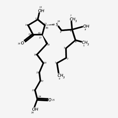 CCCCC(C)C(C)(O)CS[C@H]1C(O)CC(=O)[C@@H]1CCCCCCC(=O)O